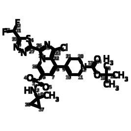 CC1(NS(=O)(=O)c2cc(C3=CCN(C(=O)OC(C)(C)C)CC3)c3c(Cl)nc(-c4nnc(C(F)F)s4)n3c2)CC1